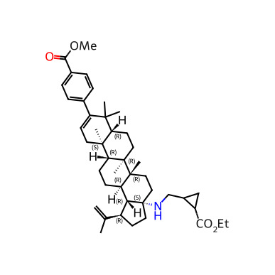 C=C(C)[C@@H]1CC[C@]2(NCC3CC3C(=O)OCC)CC[C@]3(C)[C@H](CC[C@@H]4[C@@]5(C)CC=C(c6ccc(C(=O)OC)cc6)C(C)(C)[C@@H]5CC[C@]43C)[C@@H]12